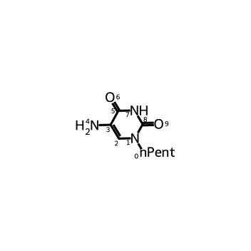 CCCCCn1cc(N)c(=O)[nH]c1=O